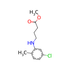 COC(=O)CCCNc1cc(Cl)ccc1C